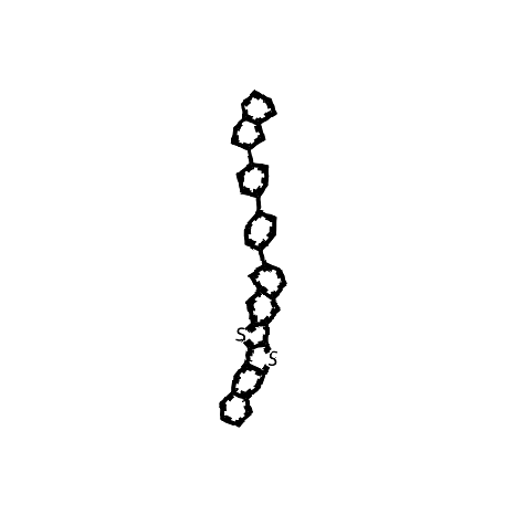 c1ccc2cc(-c3ccc(-c4ccc(-c5ccc6cc7c(cc6c5)sc5c6cc8ccccc8cc6sc75)cc4)cc3)ccc2c1